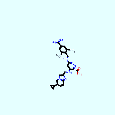 Cc1cc(C(=N)N)cc(C)c1CNc1cc(NCc2cn3cc(C4CC4)ccc3n2)cnn1.O=CO